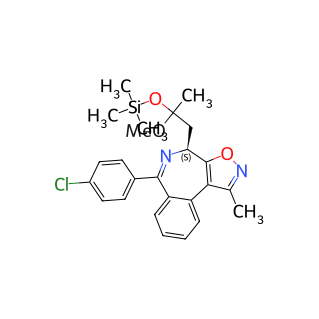 COC(C)(C[C@@H]1N=C(c2ccc(Cl)cc2)c2ccccc2-c2c(C)noc21)O[Si](C)(C)C